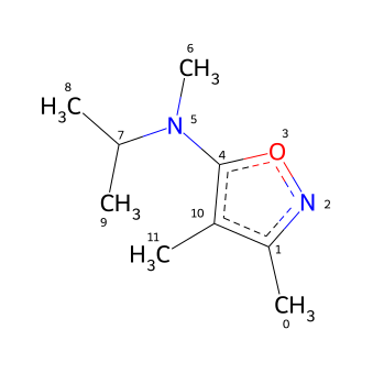 Cc1noc(N(C)C(C)C)c1C